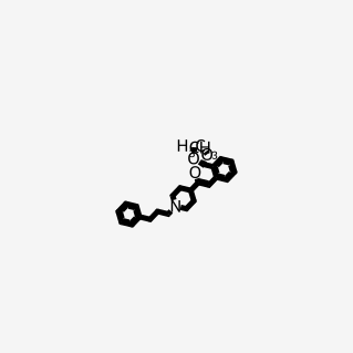 COC1(OC)OC(C2CCN(CCCc3ccccc3)CC2)=Cc2ccccc21